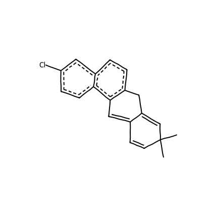 CC1(C)C=CC2=Cc3c(ccc4cc(Cl)ccc34)CC2=C1